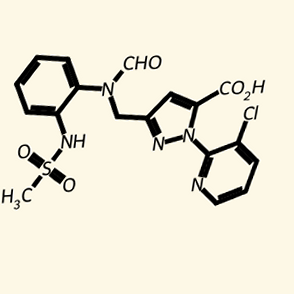 CS(=O)(=O)Nc1ccccc1N(C=O)Cc1cc(C(=O)O)n(-c2ncccc2Cl)n1